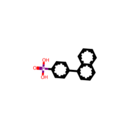 O=P(O)(O)c1ccc(-c2cccc3ccccc23)cc1